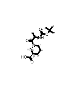 CC(NC(=O)OC(C)(C)C)C(=O)N1CCC[C@@H](C(=O)O)N1